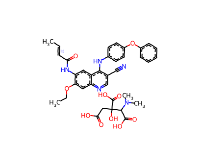 C/C=C/C(=O)Nc1cc2c(Nc3ccc(Oc4ccccc4)cc3)c(C#N)cnc2cc1OCC.CN(C)C(C(=O)O)C(O)(CC(=O)O)C(=O)O